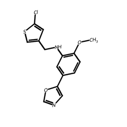 COc1ccc(-c2cnco2)cc1NCc1csc(Cl)c1